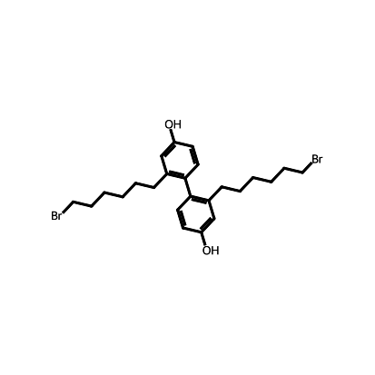 Oc1ccc(-c2ccc(O)cc2CCCCCCBr)c(CCCCCCBr)c1